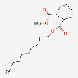 CCCCOC(=O)C1CCCCC1C(=O)OCCCCCCCCC(C)C